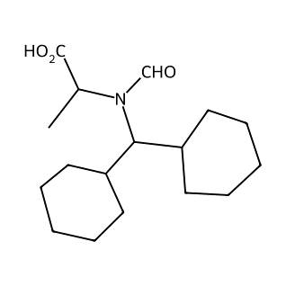 CC(C(=O)O)N(C=O)C(C1CCCCC1)C1CCCCC1